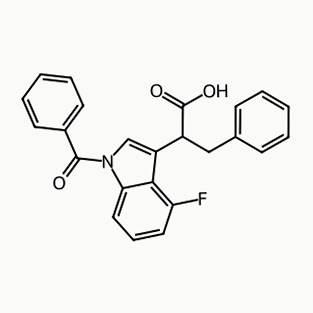 O=C(O)C(Cc1ccccc1)c1cn(C(=O)c2ccccc2)c2cccc(F)c12